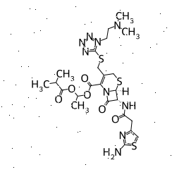 CC(OC(=O)C1=C(CSc2nnnn2CCN(C)C)CS[C@H]2[C@H](NC(=O)Cc3csc(N)n3)C(=O)N12)OC(=O)C(C)C